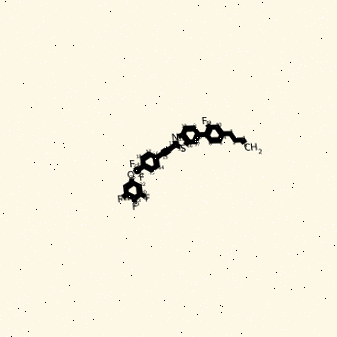 C=CCCc1ccc(-c2ccc3nc(C#Cc4ccc(C(F)(F)Oc5cc(F)c(F)c(F)c5)cc4)sc3c2)c(F)c1